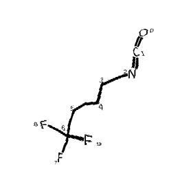 O=C=NCC[CH]C(F)(F)F